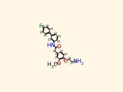 COc1cc(CC(=O)Nc2cccc(-c3ccc(F)cc3)c2)ccc1OCCN